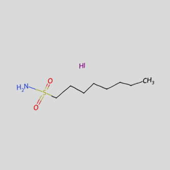 CCCCCCCCS(N)(=O)=O.I